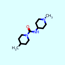 CC1CCN(C(=O)NC2CCN(C)CC2)CC1